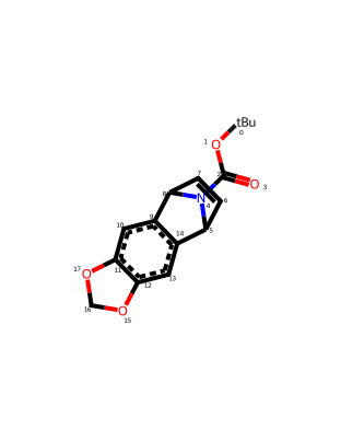 CC(C)(C)OC(=O)N1C2C=CC1c1cc3c(cc12)OCO3